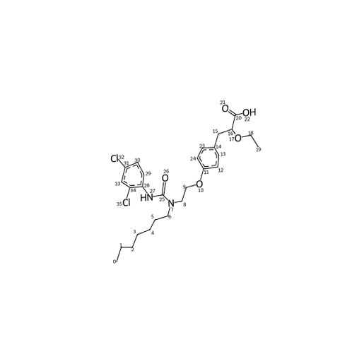 CCCCCCCN(CCOc1ccc(CC(OCC)C(=O)O)cc1)C(=O)Nc1ccc(Cl)cc1Cl